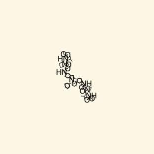 COC(=O)NC(C(=O)N1CCC[C@H]1C(=O)Nc1ccc2c(c1)cc1n2[C@H](c2ccccc2)Oc2cc(NC(=O)[C@@H]3CCCN3C(=O)[C@@H](NC(=O)OC)C(C)C)ccc2-1)C(C)C